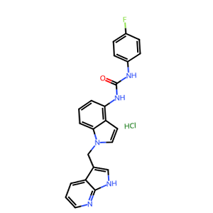 Cl.O=C(Nc1ccc(F)cc1)Nc1cccc2c1ccn2Cc1c[nH]c2ncccc12